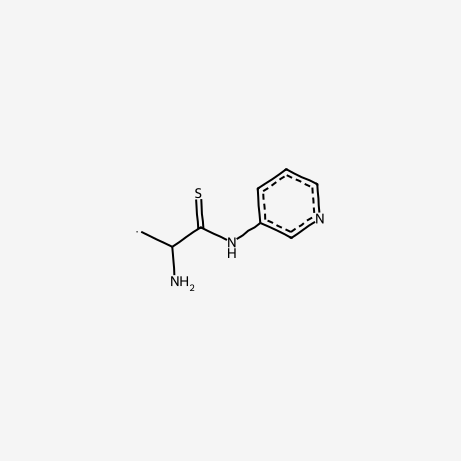 [CH2]C(N)C(=S)Nc1cccnc1